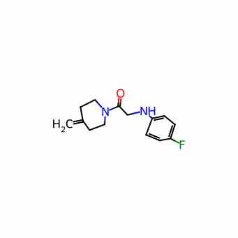 C=C1CCN(C(=O)CNc2ccc(F)cc2)CC1